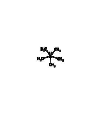 C[SH](C)(C)(C)C